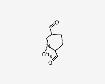 CN1CC(C=O)CCC1C=O